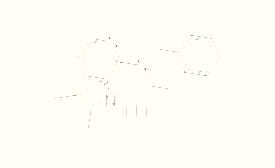 CCCn1c(C)c(C)c2ccnc(N3CCc4ccccc4C3)c21